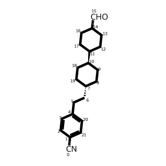 N#Cc1ccc(CC[C@H]2CC[C@H](C3CCC(C=O)CC3)CC2)cc1